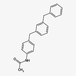 CC(=O)Nc1ccc(Cc2cccc(Cc3ccccc3)c2)cc1